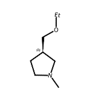 CCOC[C@@H]1CCN(C)C1